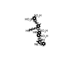 Cc1cc(N=Nc2c(S(=O)(=O)O)cc3c(S(=O)(=O)O)c(N=Nc4c(C)c(C#N)c5nc6ccccc6n5c4O)ccc3c2O)c(OCCOCCO)cc1N=Nc1nc2c(S(=O)(=O)O)cc(S(=O)(=O)O)cc2s1